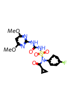 COc1cc(OC)nc(NC(=O)NS(=O)(=O)N(C(=O)C2CC2)c2ccc(F)cc2)n1